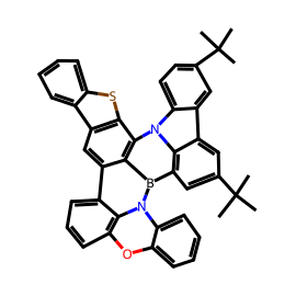 CC(C)(C)c1ccc2c(c1)c1cc(C(C)(C)C)cc3c1n2-c1c2c(cc4c1sc1ccccc14)-c1cccc4c1N(B23)c1ccccc1O4